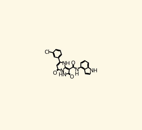 O=C(Nc1cccc2[nH]ccc12)c1c(=O)[nH]n2c(=O)cc(-c3cccc(Cl)c3)[nH]c12